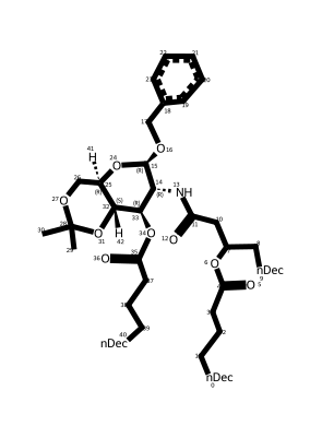 CCCCCCCCCCCCCC(=O)OC(CCCCCCCCCCC)CC(=O)N[C@H]1[C@H](OCc2ccccc2)O[C@@H]2COC(C)(C)O[C@H]2[C@@H]1OC(=O)CCCCCCCCCCCCC